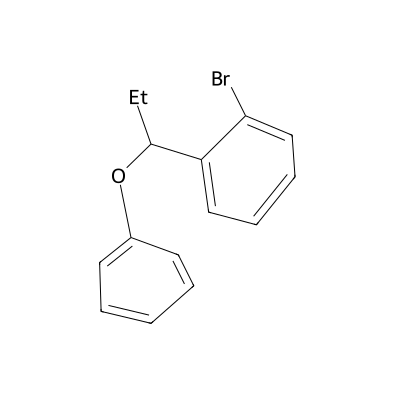 CCC(Oc1ccccc1)c1ccccc1Br